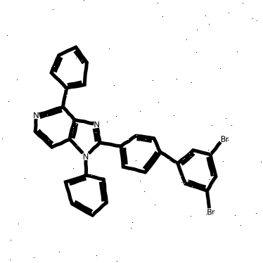 Brc1cc(Br)cc(-c2ccc(-c3nc4c(-c5ccccc5)nccc4n3-c3ccccc3)cc2)c1